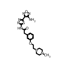 CN1CCN(CCOc2cccc(CC(=O)Nc3nnc(-c4nonc4N)s3)c2)CC1